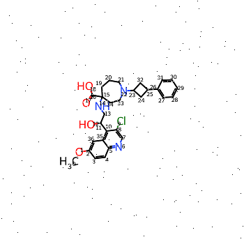 COc1ccc2ncc(Cl)c([C@@H](O)CNC3(C(=O)O)CCCN(C4CC(c5ccccc5)C4)CC3)c2c1